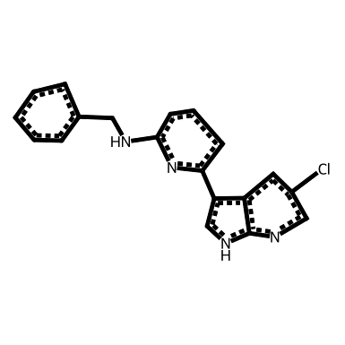 Clc1cnc2[nH]cc(-c3cccc(NCc4ccccc4)n3)c2c1